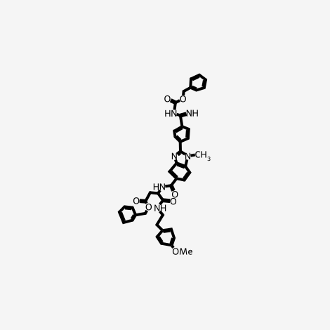 COc1ccc(CCNC(=O)C(CC(=O)OCc2ccccc2)NC(=O)c2ccc3c(c2)nc(-c2ccc(C(=N)NC(=O)OCc4ccccc4)cc2)n3C)cc1